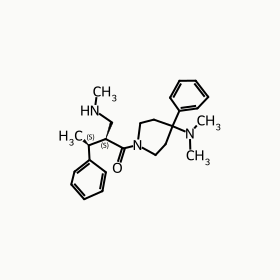 CNC[C@@H](C(=O)N1CCC(c2ccccc2)(N(C)C)CC1)[C@H](C)c1ccccc1